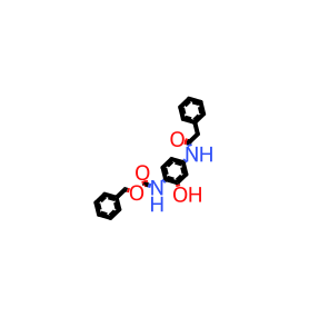 O=C(Cc1ccccc1)Nc1ccc(NC(=O)OCc2ccccc2)c(O)c1